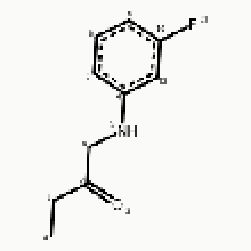 CCC(=O)CNc1cccc(F)c1